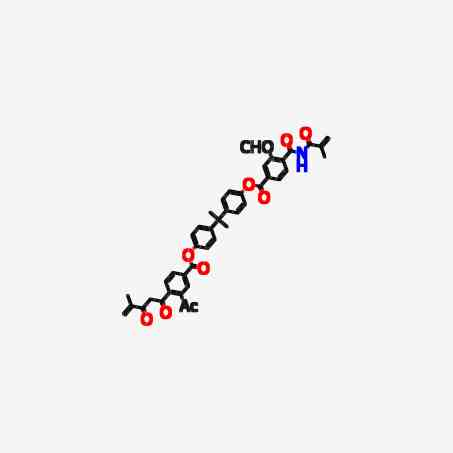 C=C(C)C(=O)CC(=O)c1ccc(C(=O)Oc2ccc(C(C)(C)c3ccc(OC(=O)c4ccc(C(=O)NC(=O)C(=C)C)c(C=O)c4)cc3)cc2)cc1C(C)=O